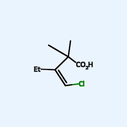 CCC(=CCl)C(C)(C)C(=O)O